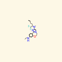 C=CCCC(C(F)F)N(C)c1cn2c(n1)-c1ccc(NCC)cc1OCC2